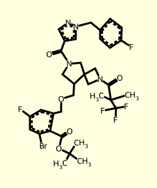 CC(C)(C)OC(=O)c1c(Br)cc(F)cc1COCC1CN(C(=O)c2cnn(Cc3ccc(F)cc3)c2)CC12CN(C(=O)C(C)(C)C(F)(F)F)C2